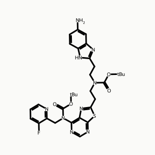 CC(C)(C)OC(=O)N(CCc1nc2cc(N)ccc2[nH]1)CCc1nc2c(N(Cc3ncccc3F)C(=O)OC(C)(C)C)ncnc2s1